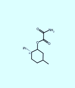 CC1CC[C@H](C(C)C)C(OC(=O)C(N)=O)C1